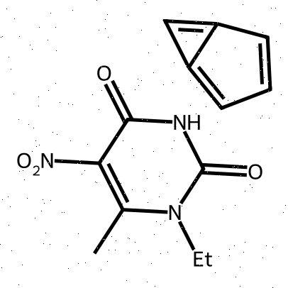 CCn1c(C)c([N+](=O)[O-])c(=O)[nH]c1=O.c1cc2cc-2c1